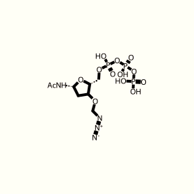 CC(=O)N[C@H]1CC(OCN=[N+]=[N-])[C@@H](COP(=O)(O)OP(=O)(O)OP(=O)(O)O)O1